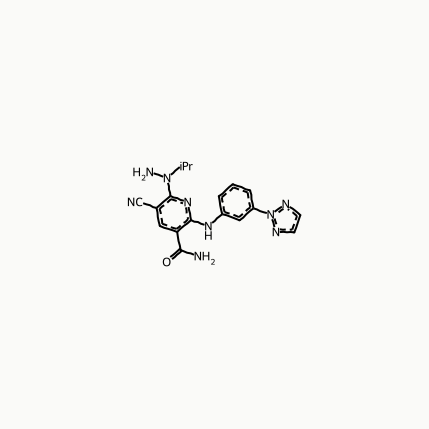 CC(C)N(N)c1nc(Nc2cccc(-n3nccn3)c2)c(C(N)=O)cc1C#N